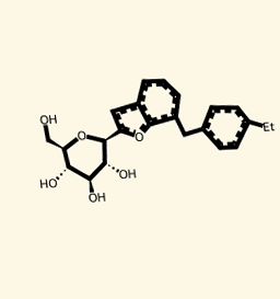 CCc1ccc(Cc2cccc3cc([C@@H]4O[C@H](CO)[C@@H](O)[C@H](O)[C@H]4O)oc23)cc1